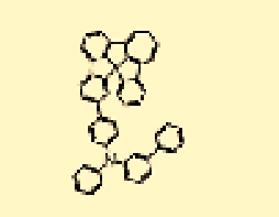 C1=CC2=C3C(=CC1)c1cccc4c1C3(c1ccccc12)c1cc(-c2ccc(N(c3ccccc3)c3cccc(-c5ccccc5)c3)cc2)ccc1-4